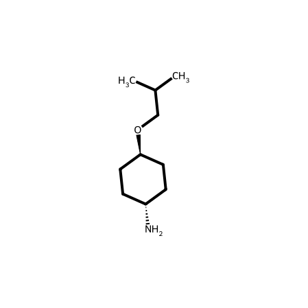 CC(C)CO[C@H]1CC[C@H](N)CC1